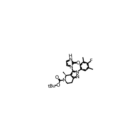 Cc1cc(-n2nc3c(c2-n2cc[nH]c2=O)[C@H](C)N(C(=O)OC(C)(C)C)CC3)cc(C)c1F